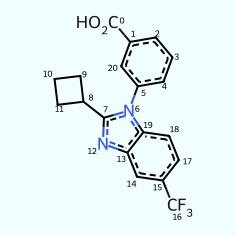 O=C(O)c1cccc(-n2c(C3CCC3)nc3cc(C(F)(F)F)ccc32)c1